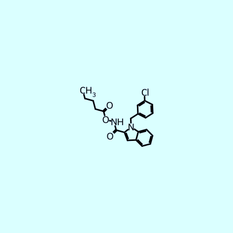 CCCCC(=O)ONC(=O)c1cc2ccccc2n1Cc1cccc(Cl)c1